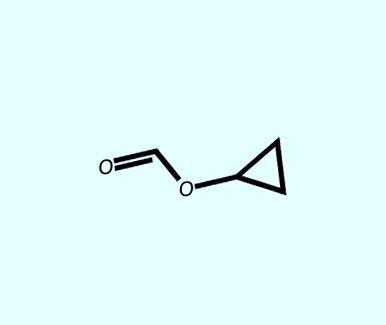 O=CO[C]1CC1